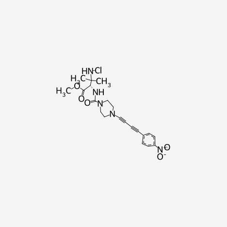 COC(=O)[C@@H](NC(=O)N1CCN(C#CC#Cc2ccc([N+](=O)[O-])cc2)CC1)C(C)(C)NCl